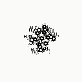 CC1(C)CCC(C)(C)c2cc(N3c4cc5c(cc4B4c6oc7cc8c(cc7c6N(c6ccccc6)c6cc(N(c7ccc9c(c7)C(C)(C)c7ccccc7-9)c7ccc9c(c7)C(C)(C)c7ccccc7-9)cc3c64)C(C)(C)CCC8(C)C)C(C)(C)CCC5(C)C)ccc21